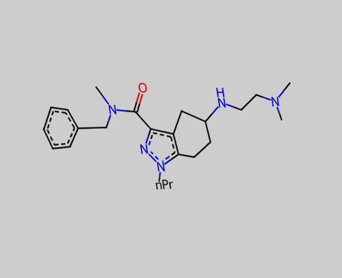 CCCn1nc(C(=O)N(C)Cc2ccccc2)c2c1CCC(NCCN(C)C)C2